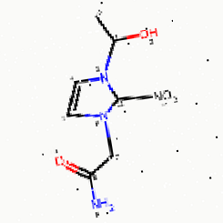 CC(O)N1C=CN(CC(N)=O)C1[N+](=O)[O-]